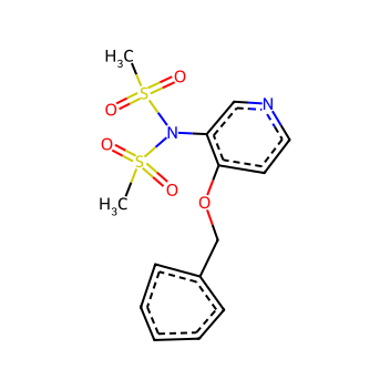 CS(=O)(=O)N(c1cnccc1OCc1ccccc1)S(C)(=O)=O